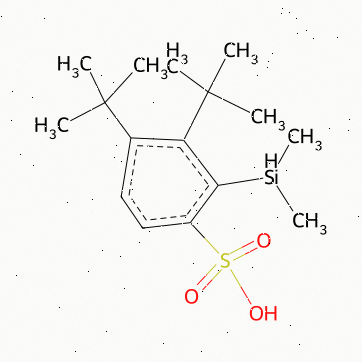 C[SiH](C)c1c(S(=O)(=O)O)ccc(C(C)(C)C)c1C(C)(C)C